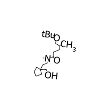 CC(CCC(=O)[N]CCC1(CO)CCCC1)COC(C)(C)C